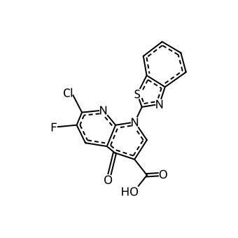 O=C(O)c1cn(-c2nc3ccccc3s2)c2nc(Cl)c(F)cc2c1=O